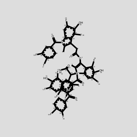 CC1=C(OC(=O)Cc2c(C)n(C(=O)c3ccc(F)c(F)c3)c3cc(F)c(O)c(F)c23)c2c(cc(F)c(O)c2F)[N+]1(C(=O)c1ccc(F)c(F)c1)C(C(N)=O)c1c(C)n(C(=O)c2ccc(F)c(F)c2)c2cc(F)c(O)c(F)c12